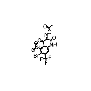 CC(=O)ON=C1C(=O)Nc2cc(C(F)(F)F)c(Br)c([N+](=O)[O-])c2C1=O